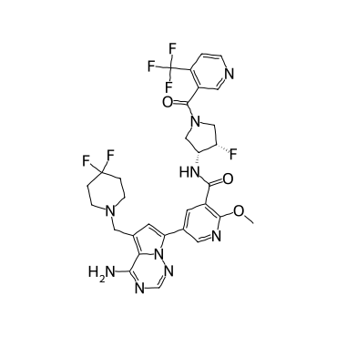 COc1ncc(-c2cc(CN3CCC(F)(F)CC3)c3c(N)ncnn23)cc1C(=O)N[C@@H]1CN(C(=O)c2cnccc2C(F)(F)F)C[C@@H]1F